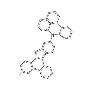 Cc1ccc2c(c1)c1ccccc1c1c3ccc(N(c4ccccc4)c4ccccc4-c4ccccc4)cc3sc21